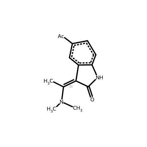 CC(=O)c1ccc2c(c1)/C(=C(\C)N(C)C)C(=O)N2